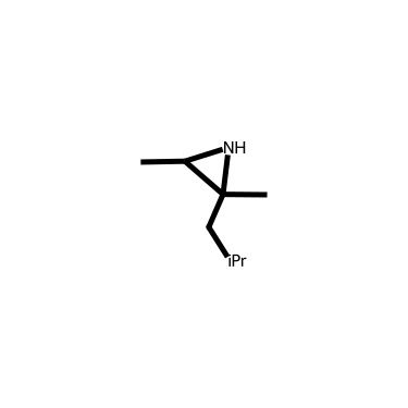 CC(C)CC1(C)NC1C